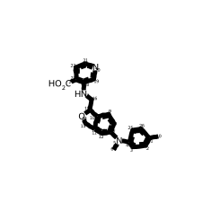 Cc1ccc(N(C)c2ccc3c(c2)COC3CNc2cnccc2C(=O)O)cc1